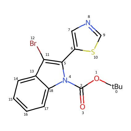 CC(C)(C)OC(=O)n1c(-c2cncs2)c(Br)c2ccccc21